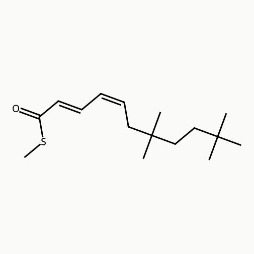 CSC(=O)/C=C/C=C\CC(C)(C)CCC(C)(C)C